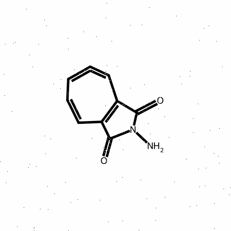 NN1C(=O)C2=C(C=CC=C=C2)C1=O